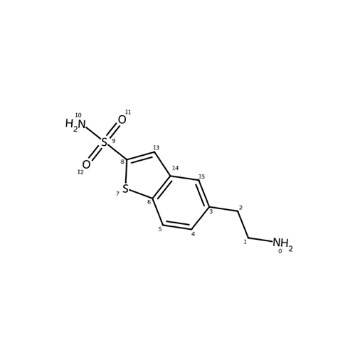 NCCc1ccc2sc(S(N)(=O)=O)cc2c1